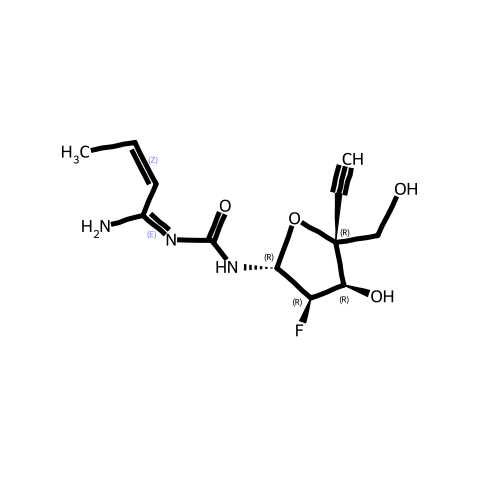 C#C[C@]1(CO)O[C@@H](NC(=O)/N=C(N)\C=C/C)[C@H](F)[C@@H]1O